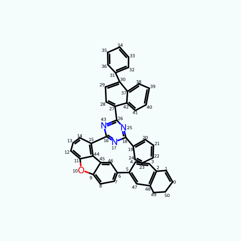 C1=Cc2ccc(-c3ccc4oc5cccc(-c6nc(-c7ccccc7)nc(-c7ccc(-c8ccccc8)c8ccccc78)n6)c5c4c3)cc2CC1